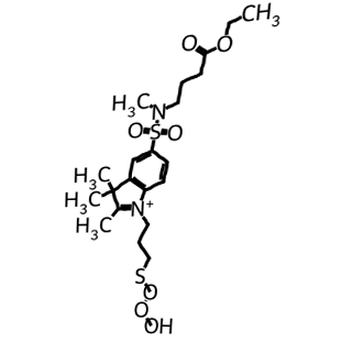 CCOC(=O)CCCN(C)S(=O)(=O)c1ccc2c(c1)C(C)(C)C(C)=[N+]2CCCSOOO